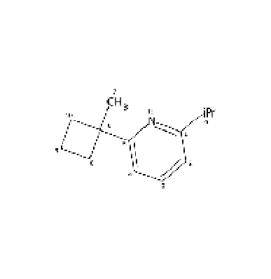 CC(C)c1cccc(C2(C)CCC2)n1